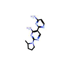 CC1CCCN1c1ncc(-c2nccc(N)n2)c(N)n1